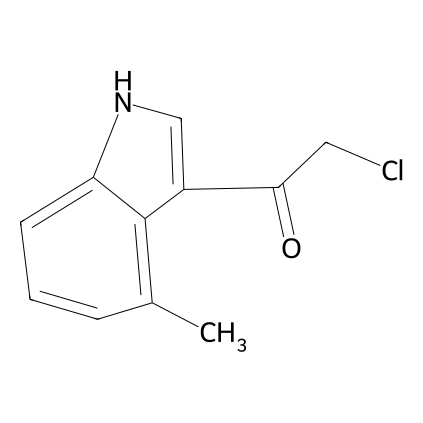 Cc1cccc2[nH]cc(C(=O)CCl)c12